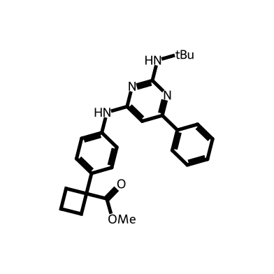 COC(=O)C1(c2ccc(Nc3cc(-c4ccccc4)nc(NC(C)(C)C)n3)cc2)CCC1